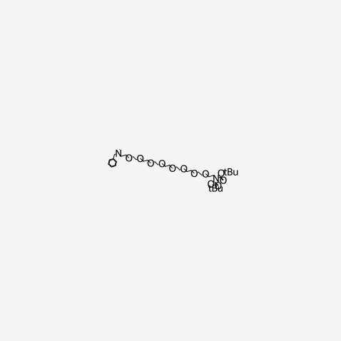 CN(CCOCCOCCOCCOCCOCCOCCOCCOCCN(C(=O)OC(C)(C)C)C(=O)OC(C)(C)C)Cc1ccccc1